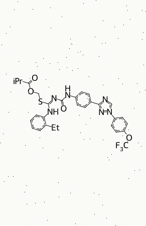 CCc1ccccc1N/C(=N\C(=O)Nc1ccc(-c2ncn(-c3ccc(OC(F)(F)F)cc3)n2)cc1)SCOC(=O)C(C)C